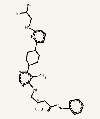 CCC(CC)CNc1cccc(C2CCN(c3ncnc(NC[C@H](NC(=O)OCc4ccccc4)C(=O)O)c3C)CC2)n1